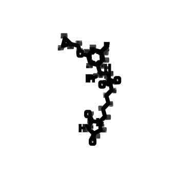 CC(C)[C@@H](NS(=O)(=O)CCCCCN1CC(=O)NC1=O)c1cc(F)cc(OCC2CC2)c1